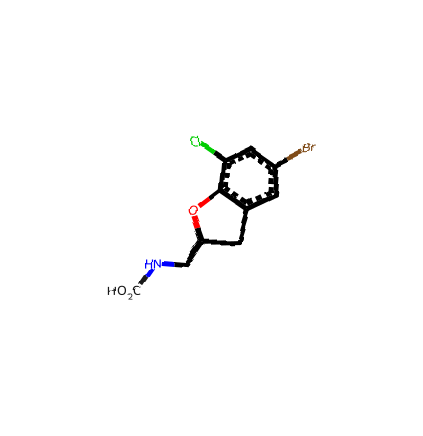 O=C(O)NCC1Cc2cc(Br)cc(Cl)c2O1